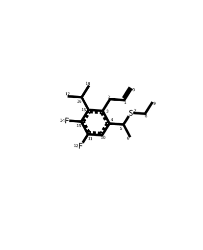 C=CCc1c(C(C)SCC)cc(F)c(F)c1C(C)C